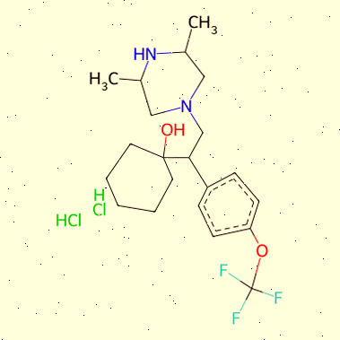 CC1CN(CC(c2ccc(OC(F)(F)F)cc2)C2(O)CCCCC2)CC(C)N1.Cl.Cl